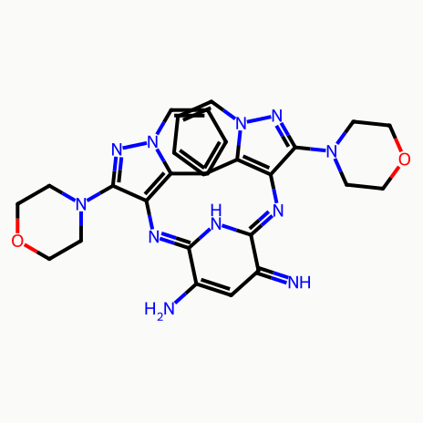 N=C1C=C(N)/C(=N/c2c(N3CCOCC3)nn3ccccc23)N/C1=N\c1c(N2CCOCC2)nn2ccccc12